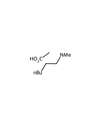 CC(=O)O.CCCCCCNC